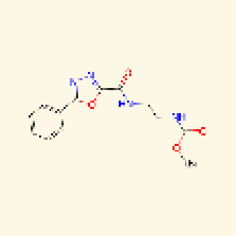 CC(C)(C)OC(=O)NCCNC(=O)c1nnc(-c2ccccc2)o1